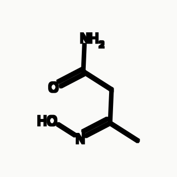 CC(CC(N)=O)=NO